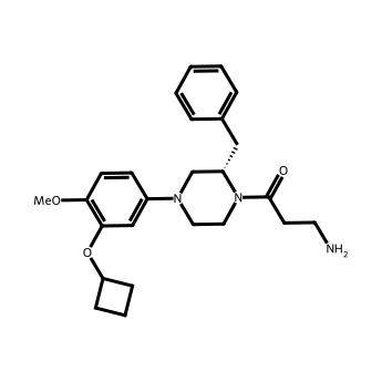 COc1ccc(N2CCN(C(=O)CCN)[C@@H](Cc3ccccc3)C2)cc1OC1CCC1